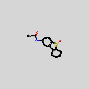 CC(C)(C)C(=O)Nc1ccc2c(c1)c1ccccc1[s+]2[O-]